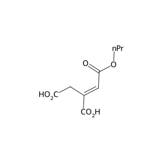 CCCOC(=O)C=C(CC(=O)O)C(=O)O